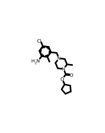 Cc1c(N)cc(Cl)cc1CN1CCN(C(=O)OC2CCCC2)C(C)C1